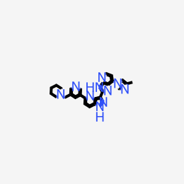 Cc1cn(-c2ccnc3[nH]c(-c4n[nH]c5ccc(-c6cncc(CN7CCCCC7)c6)nc45)nc23)cn1